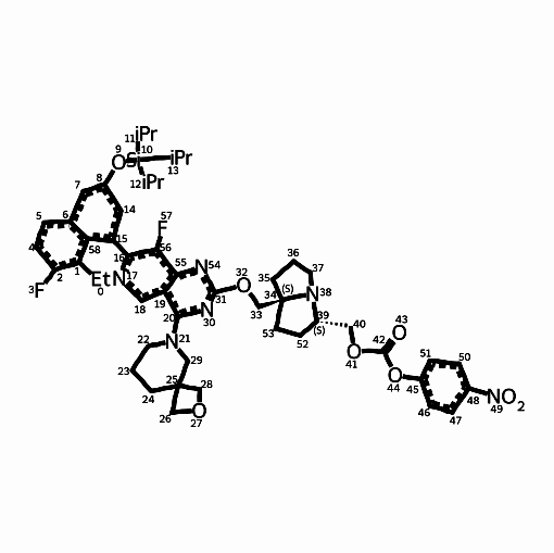 CCc1c(F)ccc2cc(O[Si](C(C)C)(C(C)C)C(C)C)cc(-c3ncc4c(N5CCCC6(COC6)C5)nc(OC[C@@]56CCCN5[C@H](COC(=O)Oc5ccc([N+](=O)[O-])cc5)CC6)nc4c3F)c12